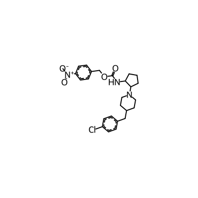 O=C(NC1CCCC1N1CCC(Cc2ccc(Cl)cc2)CC1)OCc1ccc([N+](=O)[O-])cc1